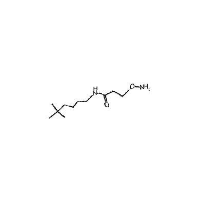 CC(C)(C)CCCCNC(=O)CCON